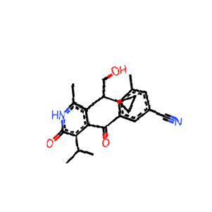 Cc1cc(C#N)cc(C(=O)c2c(C(CO)C3CC3)c(C)[nH]c(=O)c2C(C)C)c1